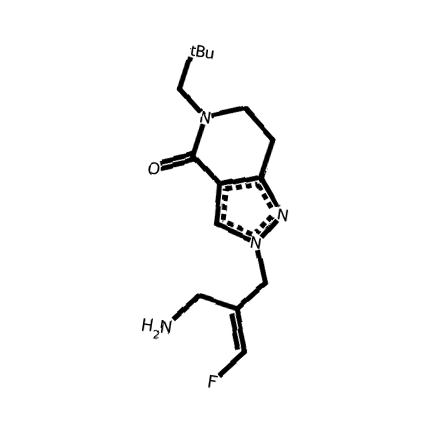 CC(C)(C)CN1CCc2nn(CC(=CF)CN)cc2C1=O